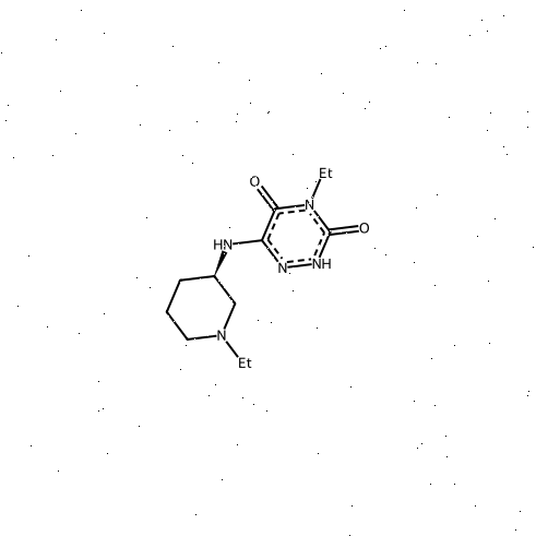 CCN1CCC[C@@H](Nc2n[nH]c(=O)n(CC)c2=O)C1